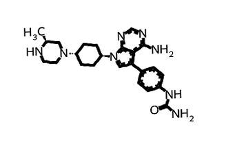 C[C@H]1CN([C@H]2CC[C@H](n3cc(-c4ccc(NC(N)=O)cc4)c4c(N)ncnc43)CC2)CCN1